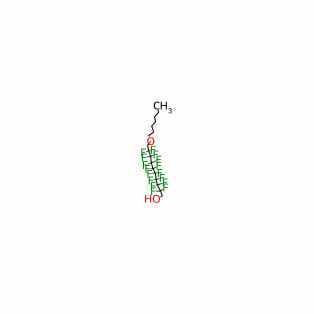 CCCCCCCOCC(F)(F)C(F)(F)C(F)(F)C(F)(F)C(F)(F)C(F)(F)C(F)(F)C(F)(F)CO